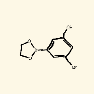 Oc1cc(Br)cc(B2OCCO2)c1